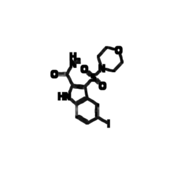 NC(=O)c1[nH]c2ccc(I)cc2c1S(=O)(=O)N1CCOCC1